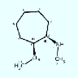 CN[C@@H]1CCCCC[C@@H]1OC